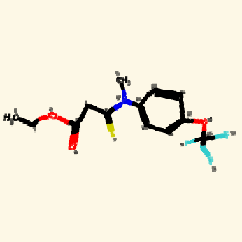 CCOC(=O)CC(=S)N(C)c1ccc(OC(F)(F)F)cc1